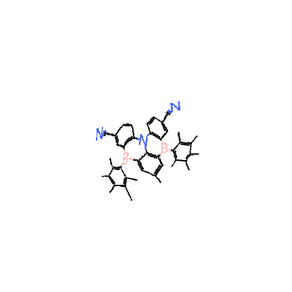 Cc1cc2c3c(c1)B(c1c(C)c(C)c(C)c(C)c1C)c1cc(C#N)ccc1N3c1ccc(C#N)cc1B2c1c(C)c(C)c(C)c(C)c1C